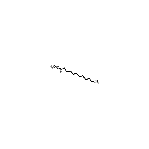 CCCCCCCCCC[CH]NCC